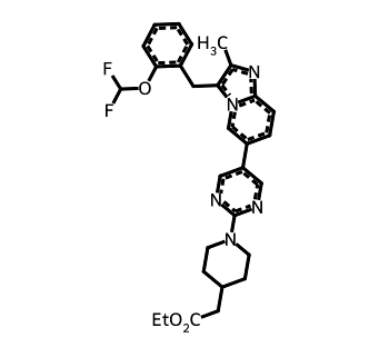 CCOC(=O)CC1CCN(c2ncc(-c3ccc4nc(C)c(Cc5ccccc5OC(F)F)n4c3)cn2)CC1